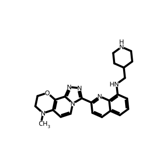 CN1CCOc2c1ccn1c(-c3ccc4cccc(NCC5CCNCC5)c4n3)nnc21